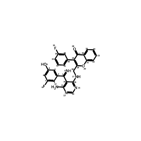 N=C(c1cc(O)cc(F)c1)c1c(N)ncnc1NCc1oc2ccccc2c(=O)c1-c1cccc(F)c1